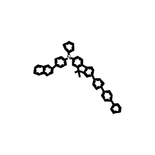 CC1(C)c2cc(-c3ccc(-c4ccc(-c5ccccc5)cc4)cc3)ccc2-c2ccc(N(c3ccccc3)c3ccc(-c4ccc5ccccc5c4)cc3)cc21